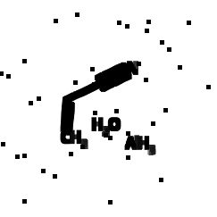 C=CC#N.O.[AlH3]